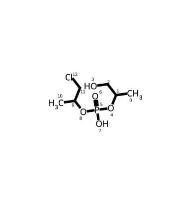 CC(CO)OP(=O)(O)OC(C)CCl